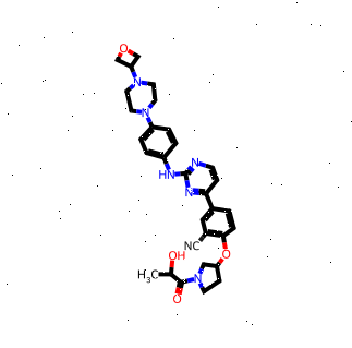 CC(O)C(=O)N1CCC(Oc2ccc(-c3ccnc(Nc4ccc(N5CCN(C6COC6)CC5)cc4)n3)cc2C#N)C1